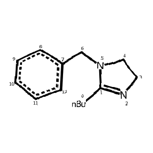 CCCCC1=NCCN1Cc1ccccc1